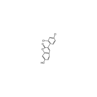 O=c1oc2cc(O)ccc2cc1-c1ccc(Cl)cc1Cl